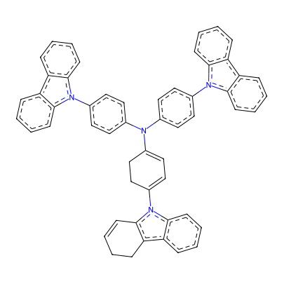 C1=Cc2c(c3ccccc3n2C2=CC=C(N(c3ccc(-n4c5ccccc5c5ccccc54)cc3)c3ccc(-n4c5ccccc5c5ccccc54)cc3)CC2)CC1